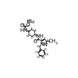 Cc1cc(C(=O)NC2CCC(NC(=O)OC(C)(C)C)CC2)n(Cc2ccccc2)n1